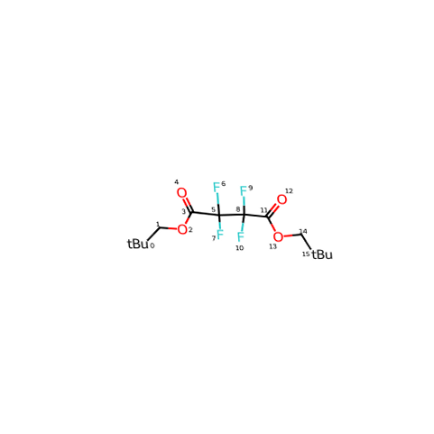 CC(C)(C)COC(=O)C(F)(F)C(F)(F)C(=O)OCC(C)(C)C